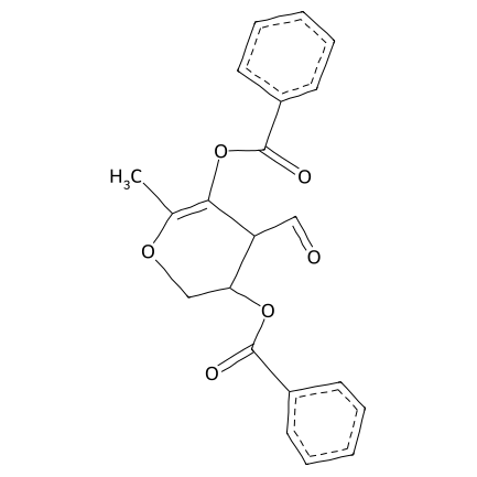 CC1=C(OC(=O)c2ccccc2)C(C=O)C(OC(=O)c2ccccc2)CO1